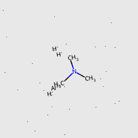 CN(C)C.[Al+3].[H-].[H-].[H-]